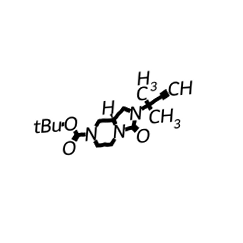 C#CC(C)(C)N1C[C@@H]2CN(C(=O)OC(C)(C)C)CCN2C1=O